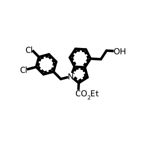 CCOC(=O)c1cc2c(CCO)cccc2n1Cc1ccc(Cl)c(Cl)c1